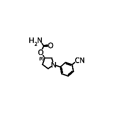 N#Cc1cccc(N2CC[C@@H](OC(N)=O)C2)c1